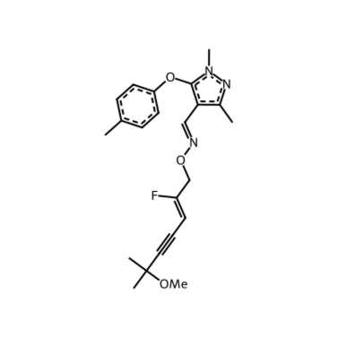 COC(C)(C)C#CC=C(F)CON=Cc1c(C)nn(C)c1Oc1ccc(C)cc1